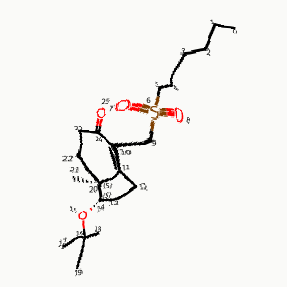 CCCCCCS(=O)(=O)CC1=C2CC[C@H](OC(C)(C)C)[C@@]2(C)CCC1=O